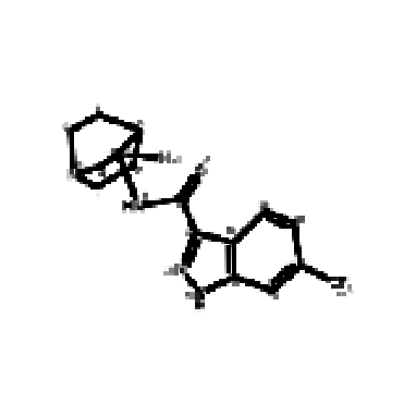 O=C(N[C@@H]1CN2CCC1CC2)c1n[nH]c2cc(C(F)(F)F)ccc12